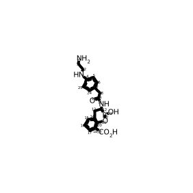 NCCNc1ccc(CC(=O)NC2Cc3cccc(C(=O)O)c3OB2O)cc1